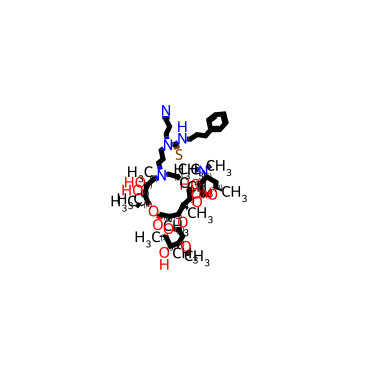 CC[C@H]1OC(=O)[C@H](C)[C@@H](O[C@H]2C[C@@](C)(OC)[C@@H](O)[C@H](C)O2)[C@H](C)[C@@H](O[C@@H]2O[C@H](C)C[C@H](N(C)C)[C@H]2O)[C@](C)(O)C[C@@H](C)CN(CCCN(CCC#N)C(=S)NCCCc2ccccc2)[C@H](C)[C@@H](O)[C@]1(C)O